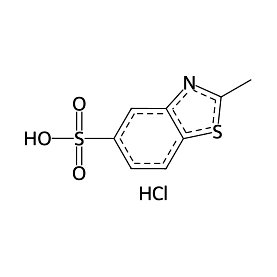 Cc1nc2cc(S(=O)(=O)O)ccc2s1.Cl